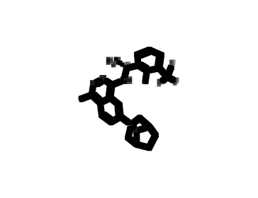 Cc1c([C@@H](N)Nc2nnc(C)c3ccc(N4CC5CCC(C4)N5C)cc23)cccc1C(F)(F)F